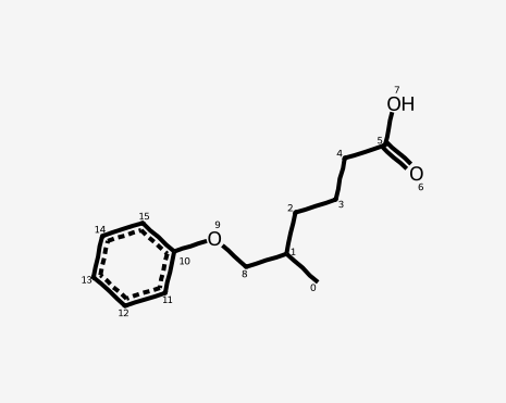 CC(CCCC(=O)O)COc1ccccc1